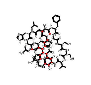 CSCC[C@H](NC(=O)[C@@H](NC(=O)[C@H](CO)NC(=O)[C@H](CS)NC(=O)[C@H](CO)NC(=O)[C@H](Cc1ccccc1)NC(=O)[C@@H](N)C(C)C)C(C)C)C(=O)N[C@@H](Cc1c[nH]cn1)C(=O)N[C@@H](CCC(=O)O)C(=O)N[C@@H](C)C(=O)N[C@@H](CC(C)C)C(=O)N[C@@H](Cc1c[nH]cn1)C(=O)N[C@@H](CC(N)=O)C(=O)N[C@@H](Cc1c[nH]cn1)C(=O)N[C@@H](Cc1ccc(O)cc1)C(=O)N[C@H](C(=O)O)[C@@H](C)O